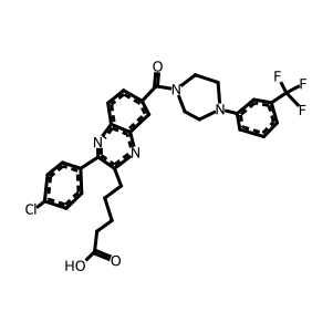 O=C(O)CCCCc1nc2cc(C(=O)N3CCN(c4cccc(C(F)(F)F)c4)CC3)ccc2nc1-c1ccc(Cl)cc1